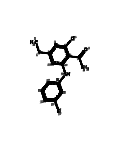 CSc1nc(Cl)c(C(N)=O)c(Nc2ccnc(Cl)c2)n1